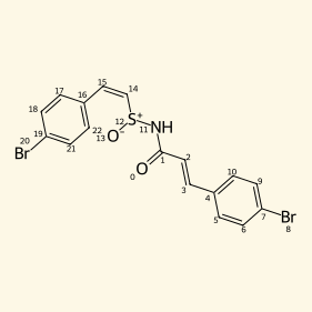 O=C(/C=C/c1ccc(Br)cc1)N[S+]([O-])/C=C\c1ccc(Br)cc1